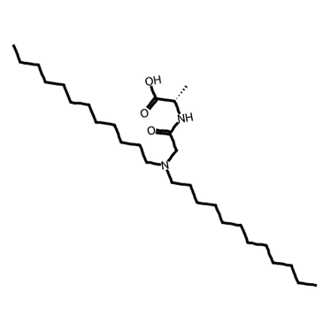 CCCCCCCCCCCCN(CCCCCCCCCCCC)CC(=O)N[C@@H](C)C(=O)O